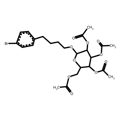 CC(=O)OCC1OC(OCCCCc2ccc(Br)cc2)C(OC(C)=O)C(OC(C)=O)C1OC(C)=O